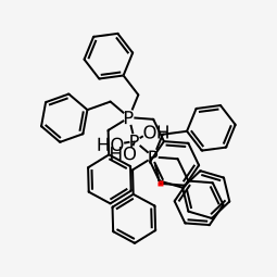 OP(O)(O)(P(Cc1ccccc1)(Cc1ccccc1)(Cc1ccccc1)Cc1ccccc1)P(Cc1ccccc1)(Cc1ccccc1)(Cc1ccccc1)Cc1ccccc1